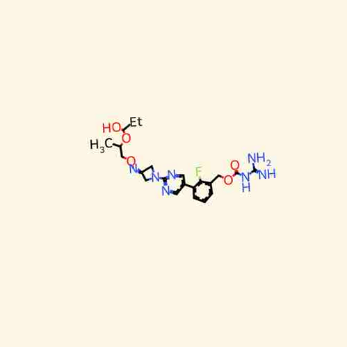 CCC(O)OC(C)CON=C1CN(c2ncc(-c3cccc(COC(=O)NC(=N)N)c3F)cn2)C1